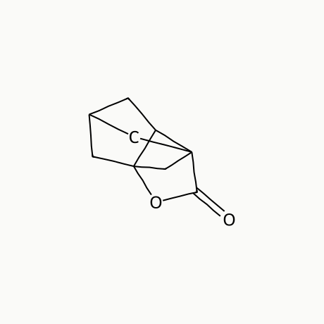 O=C1OC23CC4CC2C1(C4)C3